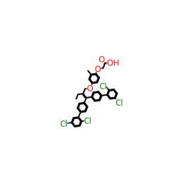 CCC(COc1ccc(OCC(=O)O)c(C)c1)=C(c1ccc(-c2cc(Cl)ccc2Cl)cc1)c1ccc(-c2cc(Cl)ccc2Cl)cc1